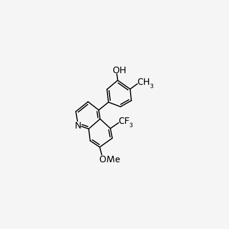 COc1cc(C(F)(F)F)c2c(-c3ccc(C)c(O)c3)ccnc2c1